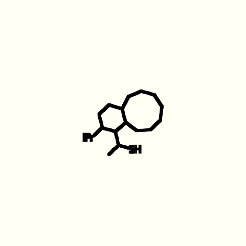 CC(C)C1CCC2CCCCCCCC2C1C(C)S